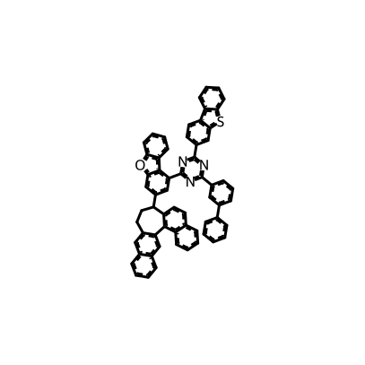 c1ccc(-c2cccc(-c3nc(-c4ccc5c(c4)sc4ccccc45)nc(-c4cc(C5CCc6cc7ccccc7cc6-c6c5ccc5ccccc65)cc5oc6ccccc6c45)n3)c2)cc1